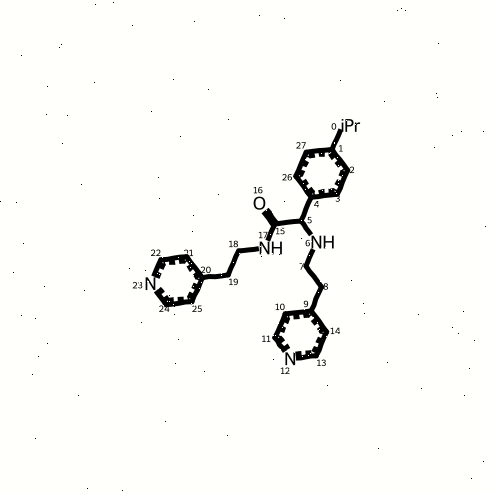 CC(C)c1ccc(C(NCCc2ccncc2)C(=O)NCCc2ccncc2)cc1